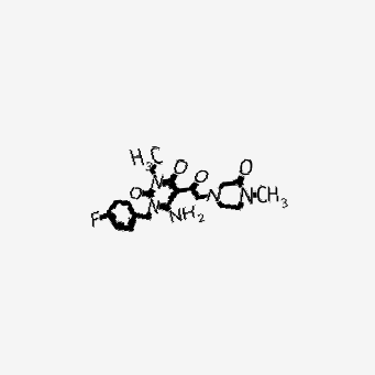 CCn1c(=O)c(C(=O)CN2CCN(C)C(=O)C2)c(N)n(Cc2ccc(F)cc2)c1=O